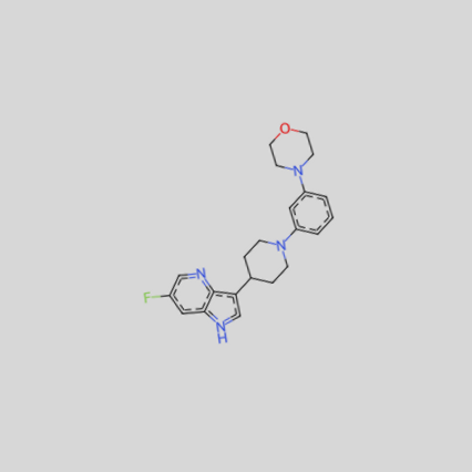 Fc1cnc2c(C3CCN(c4cccc(N5CCOCC5)c4)CC3)c[nH]c2c1